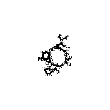 CCN(CC)[C@H]1C[C@H]2COc3ccc(F)cc3C(=O)N(C)[C@H](C(=O)N3CCCC3)CCC(=O)N(C)CC(=O)N2C1